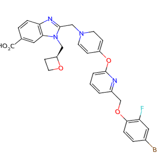 O=C(O)c1ccc2nc(CN3C=CC(Oc4cccc(COc5ccc(Br)cc5F)n4)=CC3)n(C[C@@H]3CCO3)c2c1